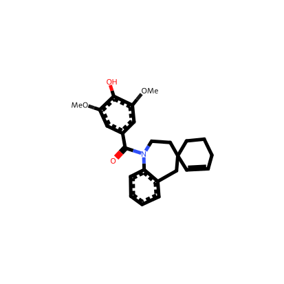 COc1cc(C(=O)N2CCC3(C=CCCC3)Cc3ccccc32)cc(OC)c1O